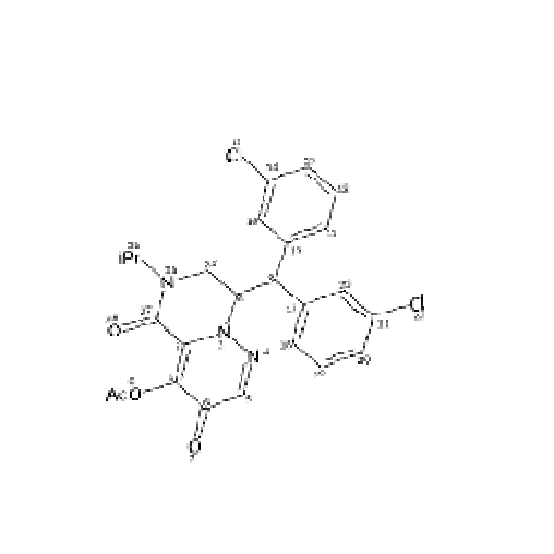 CC(=O)Oc1c2n(ncc1=O)C(C(c1cccc(Cl)c1)c1cccc(Cl)c1)CN(C(C)C)C2=O